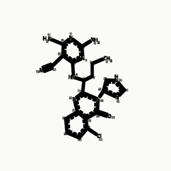 CCCC(Nc1nc(N)nc(N)c1C#N)c1nc2cccc(Cl)c2c(=O)n1-c1c[nH]cn1